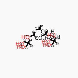 C=C(C)C(=O)O.C=C(C)C(=O)O.C=C(C)C(=O)O.CC(CO)(CO)CO.CC(CO)(CO)CO